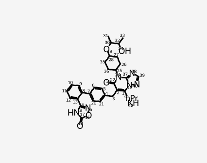 CCCc1c(Cc2ccc(-c3ccccc3-c3noc(=O)[nH]3)cc2)c(=O)n(C2CCC(OC(C)C(C)O)CC2)c2ncnn12.[KH]